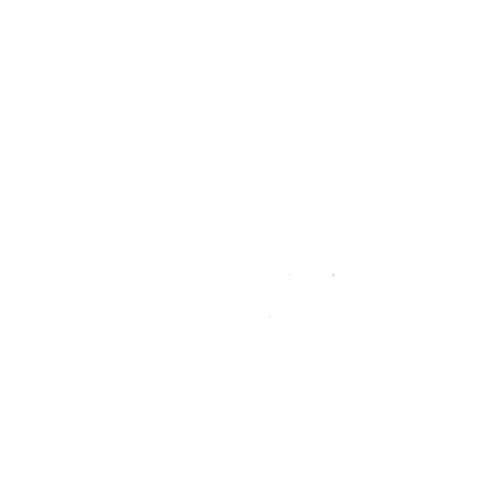 Cc1cccc2c1OC(=O)C2c1ccccc1